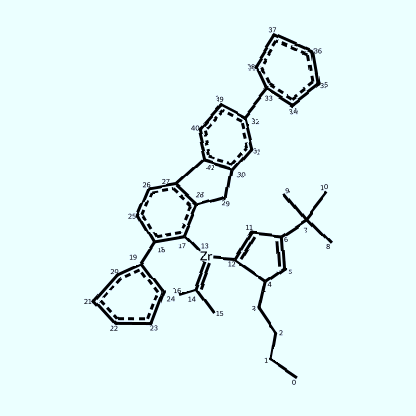 CCCCC1C=C(C(C)(C)C)C=[C]1[Zr](=[C](C)C)[c]1c(-c2ccccc2)ccc2c1Cc1cc(-c3ccccc3)ccc1-2